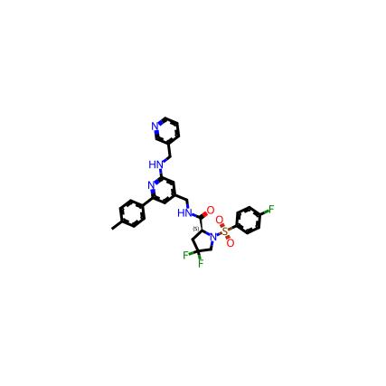 Cc1ccc(-c2cc(CNC(=O)[C@@H]3CC(F)(F)CN3S(=O)(=O)c3ccc(F)cc3)cc(NCc3cccnc3)n2)cc1